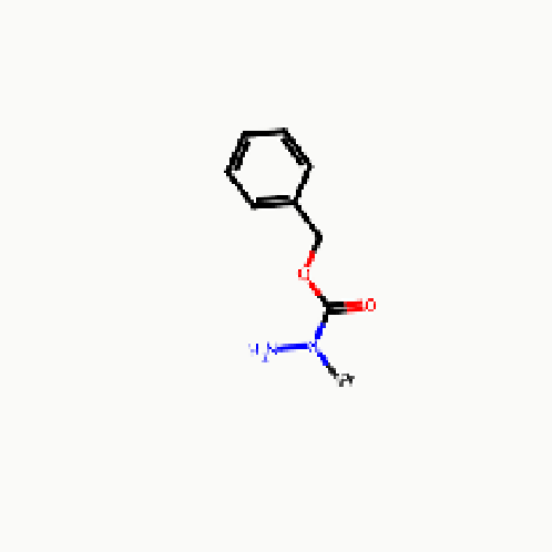 CC(C)N(N)C(=O)OCc1ccccc1